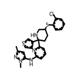 Cc1cc(Nc2cccc(C3(c4ccsc4)CCC(Sc4ccccc4Cl)CN3)n2)n(C)n1